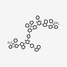 CC1(c2ccccc2)c2ccccc2-c2ccc(-c3ccc(-c4cc(-c5ccc(-c6cccc7ccccc67)cc5)nc(-c5ccc(-c6ccc7c(c6)-c6ccc(-c8cc(-c9ccc(-c%10ccc%11c(c%10)C(C)(c%10ccccc%10)c%10ccccc%10-%11)c%10ccccc9%10)nc(-c9ccccc9)n8)cc6C7(c6ccccc6)c6ccccc6)cc5)n4)c4ccccc34)cc21